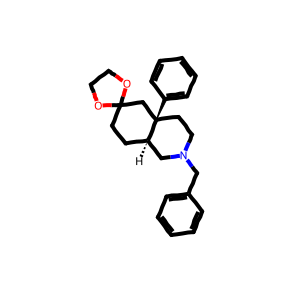 c1ccc(CN2CC[C@@]3(c4ccccc4)CC4(CC[C@@H]3C2)OCCO4)cc1